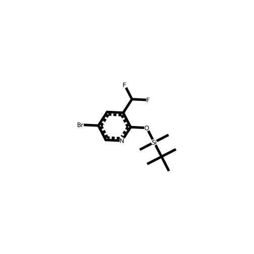 CC(C)(C)[Si](C)(C)Oc1ncc(Br)cc1C(F)F